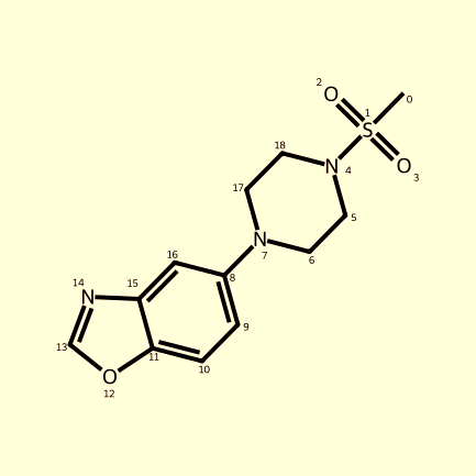 CS(=O)(=O)N1CCN(c2ccc3ocnc3c2)CC1